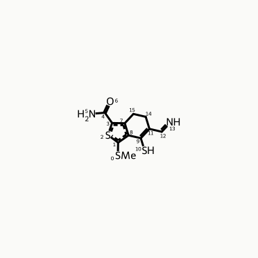 CSc1sc(C(N)=O)c2c1C(S)=C(C=N)CC2